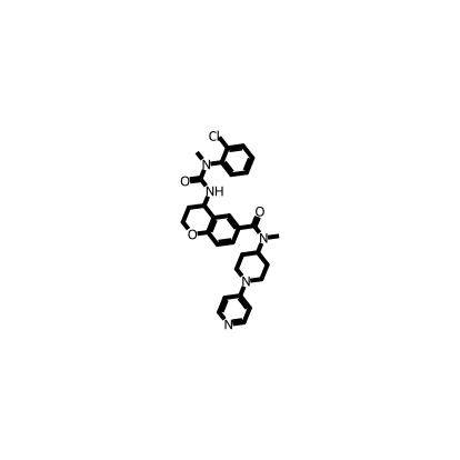 CN(C(=O)NC1CCOc2ccc(C(=O)N(C)C3CCN(c4ccncc4)CC3)cc21)c1ccccc1Cl